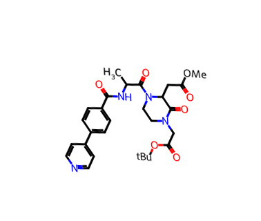 COC(=O)CC1C(=O)N(CC(=O)OC(C)(C)C)CCN1C(=O)C(C)NC(=O)c1ccc(-c2ccncc2)cc1